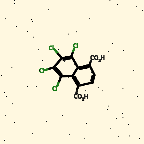 O=C(O)c1ccc(C(=O)O)c2c(Cl)c(Cl)c(Cl)c(Cl)c12